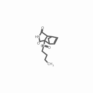 CCCCS(=O)(=O)C12C(=O)NC(=O)C1C1C=CC2C1